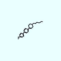 CCCCCCC1CC=C(c2ccc(-c3ccc(F)cc3)cc2)CC1